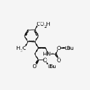 Cc1ccc(C(=O)O)cc1C(CNC(=O)OC(C)(C)C)CC(=O)OC(C)(C)C